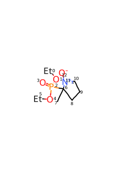 CCOP(=O)(OCC)C1(C)CCC=[N+]1[O-]